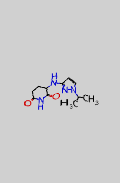 CC(C)n1ccc(NC2CCC(=O)NC2=O)n1